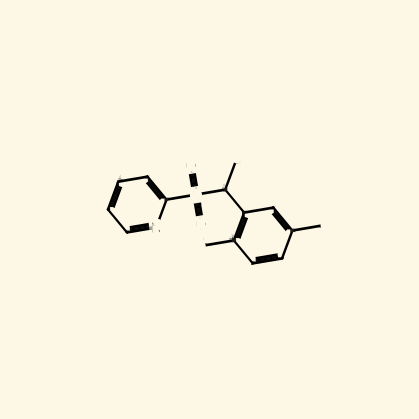 Cc1ccc(C)c(C(C)S(=O)(=O)c2ccccn2)c1